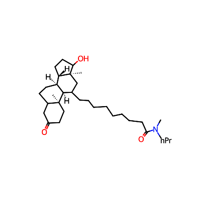 CCCN(C)C(=O)CCCCCCCCC1C[C@]2(C)C(O)CC[C@H]2[C@@H]2CCC3CC(=O)CC[C@]3(C)[C@H]12